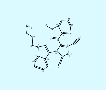 Cn1cc(-c2c(C#N)[nH]c(=O)n2-c2cn(CCCN)c3ccccc23)c2ccccc21